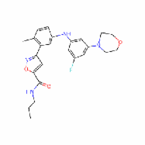 CCCNC(=O)c1cc(-c2cc(Nc3cc(F)cc(N4CCOCC4)c3)ccc2C)no1